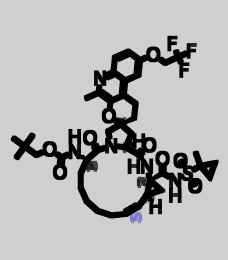 Cc1nc2ccc(OCC(F)(F)F)cc2c2c1O[C@]1(CC2)C[C@H]2C(=O)N[C@]3(C(=O)NS(=O)(=O)C4(C)CC4)C[C@H]3/C=C\CCCCC[C@H](NC(=O)OCC(C)(C)C)C(=O)N2C1